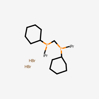 Br.Br.CC(C)P(CP(C(C)C)C1CCCCC1)C1CCCCC1